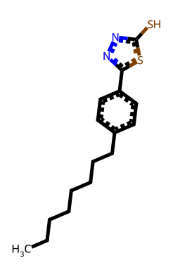 CCCCCCCCc1ccc(-c2nnc(S)s2)cc1